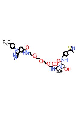 Cc1ncsc1-c1ccc(CNC(=O)[C@@H]2C[C@@H](O)CN2C(=O)C(NC(=O)COCCOCCOCCNC(=O)c2ccc3c(c2)c2cn(C)nc2n3-c2ccc(C(F)(F)F)cc2)C(C)(C)C)cc1